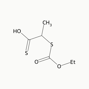 CCOC(=O)SC(C)C(O)=S